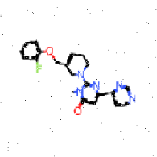 Cn1c(N2CCC=C(COc3ccccc3F)C2)nc(-c2ccncn2)cc1=O